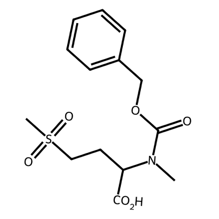 CN(C(=O)OCc1ccccc1)C(CCS(C)(=O)=O)C(=O)O